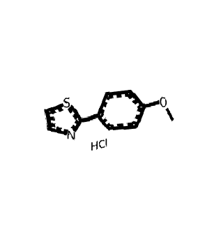 COc1ccc(-c2nccs2)cc1.Cl